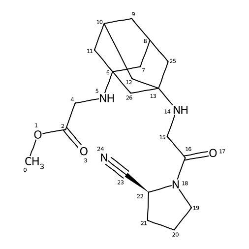 COC(=O)CNC12CC3CC(C1)CC(NCC(=O)N1CCC[C@H]1C#N)(C3)C2